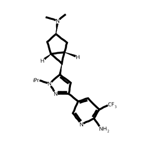 CC(C)n1nc(-c2cnc(N)c(C(F)(F)F)c2)cc1[C@H]1[C@@H]2C[C@@H](N(C)C)C[C@@H]21